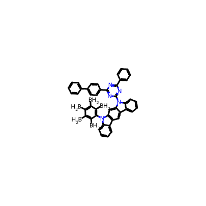 Bc1c(B)c(B)c(-n2c3ccccc3c3cc4c5ccccc5n(-c5nc(-c6ccccc6)nc(-c6ccc(-c7ccccc7)cc6)n5)c4cc32)c(B)c1B